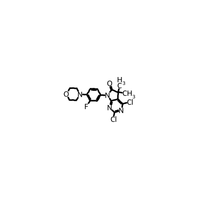 CC1(C)C(=O)N(c2ccc(N3CCOCC3)c(F)c2)c2nc(Cl)nc(Cl)c21